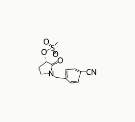 CS(=O)(=O)O[C@H]1CCN(Cc2ccc(C#N)cc2)C1=O